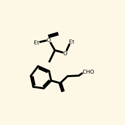 C=C.C=C(CCC=O)c1ccccc1.CCOC(C)OCC